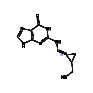 O=c1[nH]c(N/C=C2\CC2CO)nc2[nH]cnc12